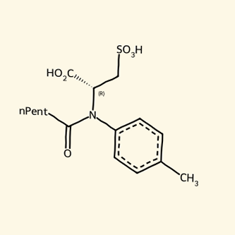 CCCCCC(=O)N(c1ccc(C)cc1)[C@@H](CS(=O)(=O)O)C(=O)O